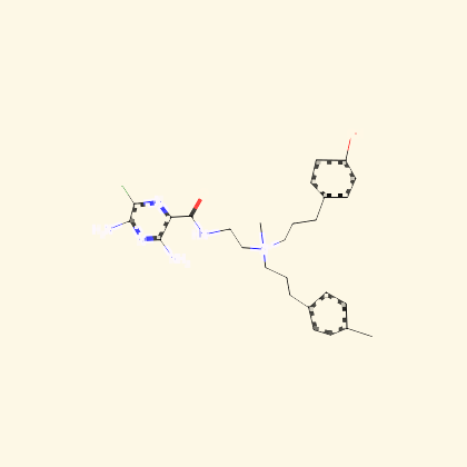 Cc1ccc(CCC[N+](C)(CCCc2ccc(O)cc2)CCNC(=O)c2nc(Cl)c(N)nc2N)cc1